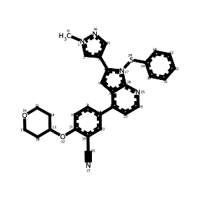 Cn1cc(-c2cc3c(-c4ccc(OC5CCOCC5)c(C#N)c4)ccnc3n2Sc2ccccc2)cn1